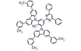 Cc1cccc(-c2ccc3c(c2)c2cc(-c4cccc(C)c4)ccc2n3-c2cc(-c3nc(-c4ccccc4)cc(-c4ccccc4)n3)cc(-n3c4ccc(-c5cccc(C)c5)cc4c4cc(-c5cccc(C)c5)ccc43)c2C#N)c1